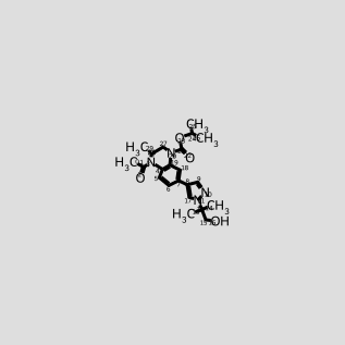 CC(=O)N1c2ccc(-c3cnn(C(C)(C)CO)c3)cc2N(C(=O)OC(C)C)C[C@@H]1C